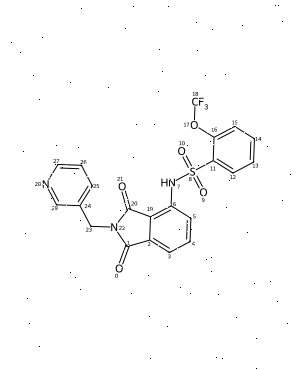 O=C1c2cccc(NS(=O)(=O)c3ccccc3OC(F)(F)F)c2C(=O)N1Cc1cccnc1